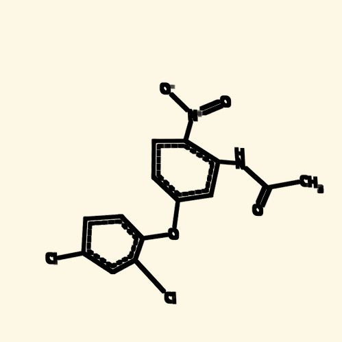 CC(=O)Nc1cc(Oc2ccc(Cl)cc2Cl)ccc1[N+](=O)[O-]